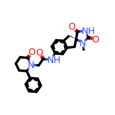 CN1C(=O)NC(=O)[C@@]12Cc1ccc(NC(=O)CN3C(=O)CCCC3c3ccccc3)cc1C2